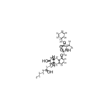 CCCCC[C@H](O)CC[C@@H]1[C@H]2Cc3cccc(OCC(=O)NC(C(=O)OCc4ccccc4)C(C)C)c3C[C@H]2C[C@H]1O